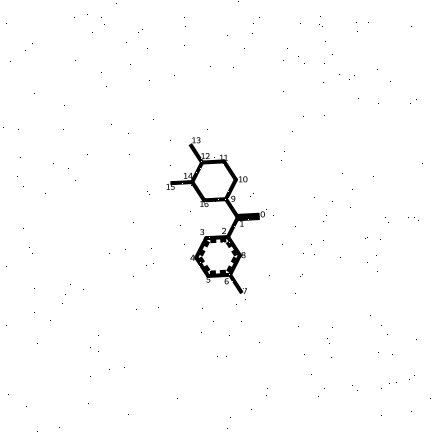 C=C(c1cccc(C)c1)C1CCC(C)C(C)C1